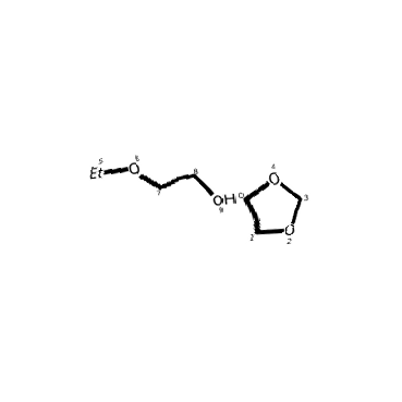 C1COCO1.CCOCCO